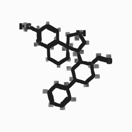 Cc1ccc2c(n1)CCC[C@]21CNC[C@H]1C1CC(c2ccccc2)CCN1C=O